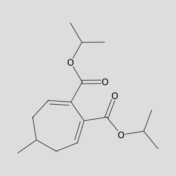 CC1CC=C(C(=O)OC(C)C)C(C(=O)OC(C)C)=CC1